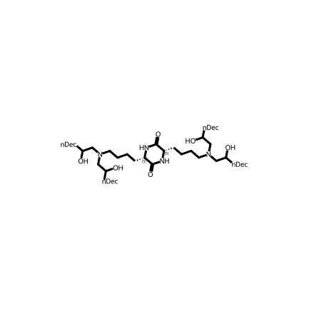 CCCCCCCCCCC(O)CN(CCCC[C@@H]1NC(=O)[C@H](CCCCN(CC(O)CCCCCCCCCC)CC(O)CCCCCCCCCC)NC1=O)CC(O)CCCCCCCCCC